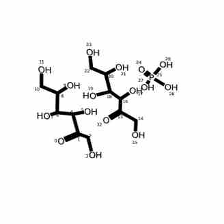 O=C(CO)C(O)C(O)C(O)CO.O=C(CO)C(O)C(O)C(O)CO.O=P(O)(O)O